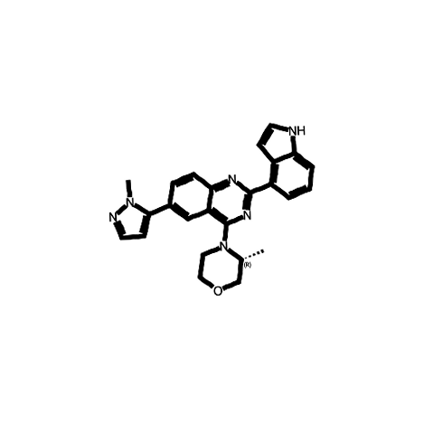 C[C@@H]1COCCN1c1nc(-c2cccc3[nH]ccc23)nc2ccc(-c3ccnn3C)cc12